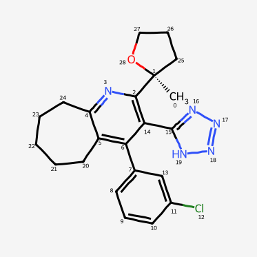 C[C@@]1(c2nc3c(c(-c4cccc(Cl)c4)c2-c2nnn[nH]2)CCCCC3)CCCO1